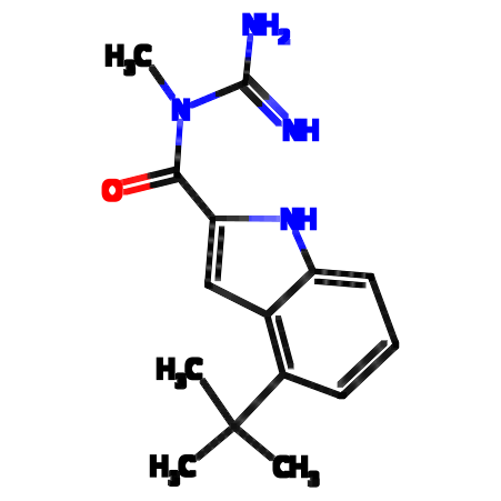 CN(C(=N)N)C(=O)c1cc2c(C(C)(C)C)cccc2[nH]1